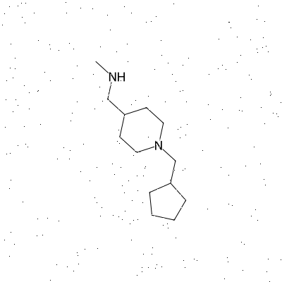 CNCC1CCN(CC2CCCC2)CC1